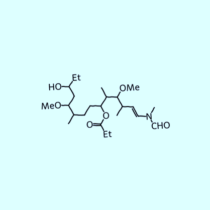 CCC(=O)OC(CCC(C)C(CC(O)CC)OC)C(C)C(OC)C(C)/C=C/N(C)C=O